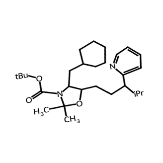 CC(C)C(CCC1OC(C)(C)N(C(=O)OC(C)(C)C)C1CC1CCCCC1)c1ccccn1